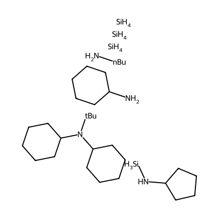 CC(C)(C)N(C1CCCCC1)C1CCCCC1.CCCCN.NC1CCCCC1.[SiH3]NC1CCCC1.[SiH4].[SiH4].[SiH4]